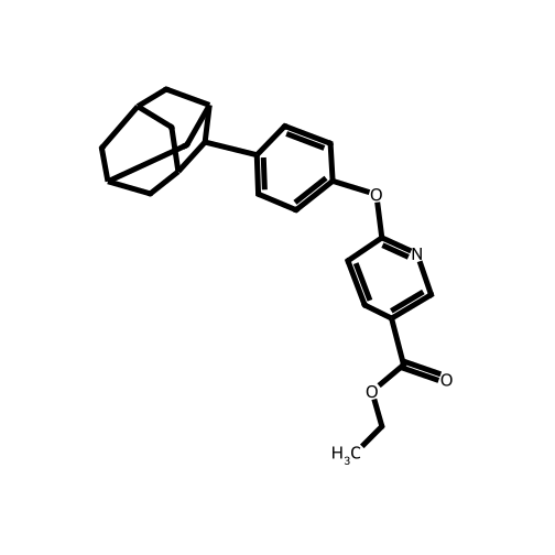 CCOC(=O)c1ccc(Oc2ccc(C3C4CC5CC(C4)CC3C5)cc2)nc1